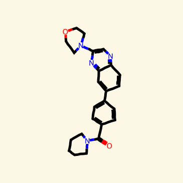 O=C(c1ccc(-c2ccc3ncc(N4CCOCC4)nc3c2)cc1)N1CCCCC1